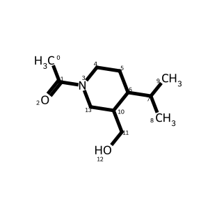 CC(=O)N1CCC(C(C)C)C(CO)C1